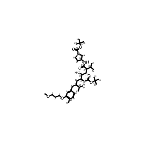 COCCCOc1cc(CC(CC(NC(=O)OC(C)(C)C)C(O)CC(C(=O)NC2CCN(C(=O)OC(C)(C)C)C2)C(C)C)C(C)C)ccc1C